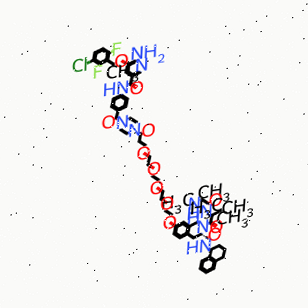 CN[C@@H](C)C(=O)N[C@H](C(=O)N1Cc2cc(OCCOCCOCCOCCOCCC(=O)N3CCN(C(=O)c4ccc(NC(=O)c5cnc(N)c(O[C@H](C)c6c(F)ccc(Cl)c6F)c5)cc4)CC3)ccc2C[C@H]1C(=O)N[C@@H]1CCCc2ccccc21)C(C)(C)C